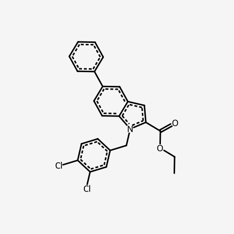 CCOC(=O)c1cc2cc(-c3ccccc3)ccc2n1Cc1ccc(Cl)c(Cl)c1